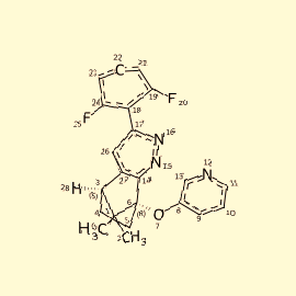 CC1(C)[C@H]2CC[C@]1(Oc1cccnc1)c1nnc(-c3c(F)cccc3F)cc12